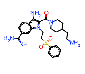 N=C(N)c1ccc2c(N)c(C(=O)N3CCC(CCN)CC3)n(CCS(=O)(=O)c3ccccc3)c2c1